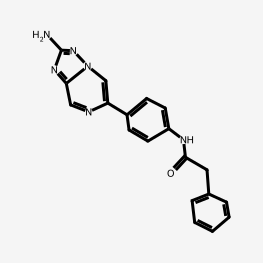 Nc1nc2cnc(-c3ccc(NC(=O)Cc4ccccc4)cc3)cn2n1